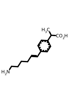 CC(C(=O)O)c1ccc(C=CCCCCN)cc1